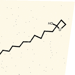 CCCCCCCCCCCC1(O)CCO1